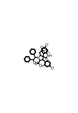 CC(C)CC1N(C(c2ccccc2)C(O)c2ccccc2)C(C(=O)O)C(c2ccc(Cl)cc2)C12C(=O)Nc1cc(Cl)ccc12